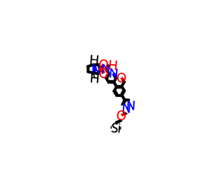 CN(c1ccc2c(n1)OCc1cc(-c3cnn(COCC[Si](C)(C)C)c3)ccc1-2)C1C[C@H]2CC[C@@H](C1)N2C(=O)O